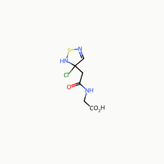 O=C(O)CNC(=O)CC1(Cl)C=NSN1